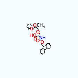 CC(C)(COCC(NC(=O)OCC1c2ccccc2-c2ccccc21)C(=O)O)OC1CCCCO1